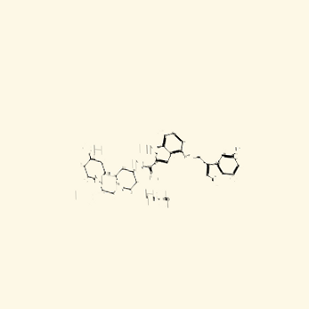 C[C@@H](CN1CCC(NC(=O)c2cc3c(OCc4coc5ccc(F)cc45)cccc3[nH]2)CC1)N1CCC(O)CC1.Cl.Cl